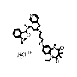 CCN1C(=O)C(C)(C)C(=O)N(C)c2cc(OCCCN(CCN(C)C(=O)c3ccccc3N(C)C)Cc3ccncc3)ccc21.Cl.Cl.Cl